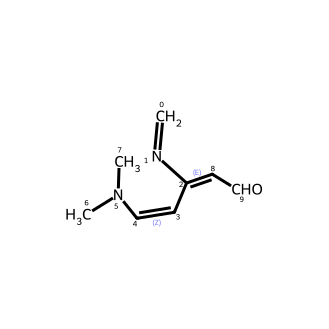 C=NC(/C=C\N(C)C)=C/C=O